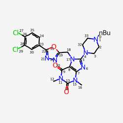 CCCCN1CCN(c2nc3c(c(=O)n(C)c(=O)n3C)n2Cc2nnc(-c3ccc(Cl)c(Cl)c3)o2)CC1